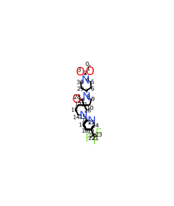 COC(=O)N1CCC(N2CCC3(CCCN(c4ccc(C(F)(F)F)cn4)C3)C2=O)CC1